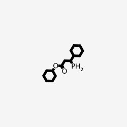 O=C(CC(P)C1CCCCC1)OC1CCCCC1